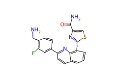 NCc1ccc(-c2ccc3cccc(-c4nc(C(N)=O)cs4)c3n2)cc1F